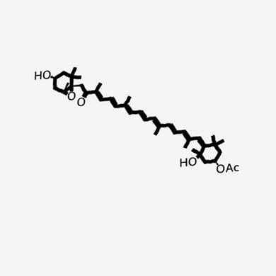 CC(=O)O[C@H]1CC(C)(C)/C(=C/C(C)=C/C=C/C(C)=C/C=C/C=C(C)/C=C/C=C(\C)C(=O)C[C@@]23O[C@]2(C)C[C@@H](O)CC3(C)C)C(C)(O)C1